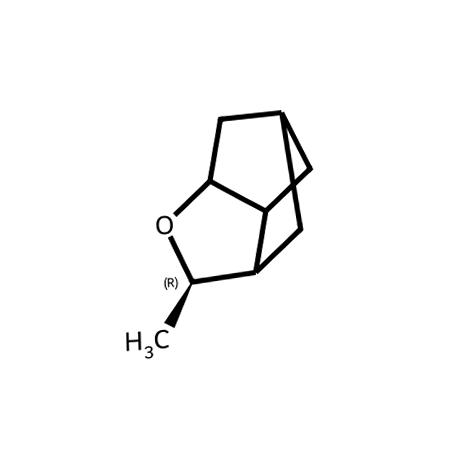 C[C@H]1OC2CC3CC2C1C3